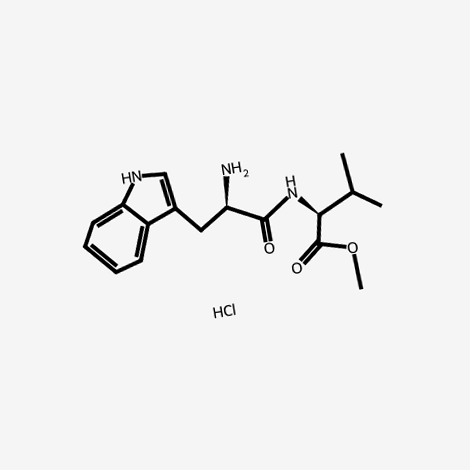 COC(=O)[C@@H](NC(=O)[C@H](N)Cc1c[nH]c2ccccc12)C(C)C.Cl